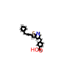 O=C(O)c1ccc(Cc2cnc3sc(C#CCc4ccccc4)cc3c2)cc1